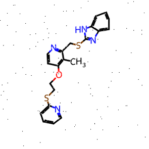 Cc1c(OCCSc2ccccn2)ccnc1CSc1nc2ccccc2[nH]1